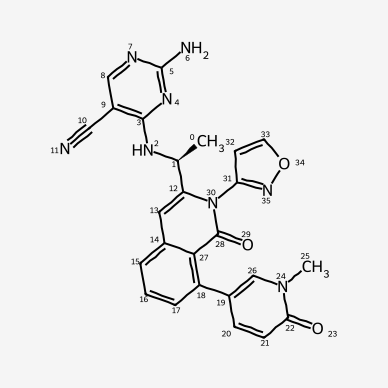 C[C@H](Nc1nc(N)ncc1C#N)c1cc2cccc(-c3ccc(=O)n(C)c3)c2c(=O)n1-c1ccon1